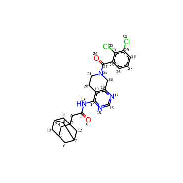 O=C(CC12CC3CC(CC(C3)C1)C2)Nc1ncnc2c1CCN(C(=O)c1cccc(Cl)c1Cl)C2